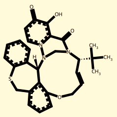 CC(C)(C)[C@@H]1/C=C/COc2cccc3c2[C@H](c2ccccc2SC3)N2CN1C(=O)c1c(O)c(=O)ccn12